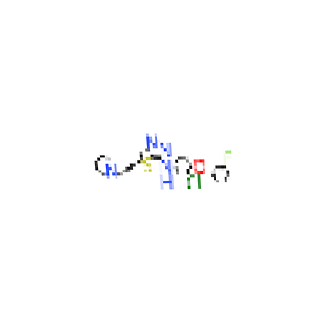 Fc1cccc(COc2ccc(Nc3ncnc4cc(C#CCN5CCCCC5)sc34)cc2Cl)c1